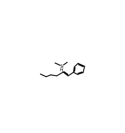 CCCCC(=Cc1ccccc1)[SiH](C)C